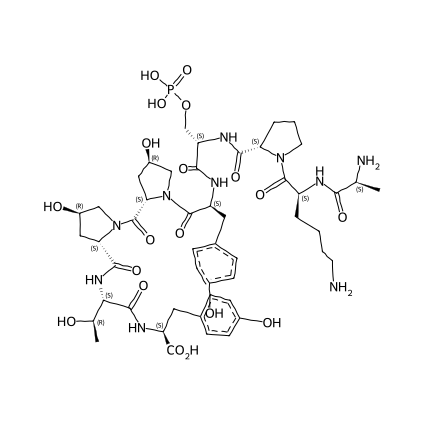 C[C@H](N)C(=O)N[C@@H](CCCCN)C(=O)N1CCC[C@H]1C(=O)N[C@@H](COP(=O)(O)O)C(=O)N[C@@H](Cc1ccc(O)cc1)C(=O)N1C[C@H](O)C[C@H]1C(=O)N1C[C@H](O)C[C@H]1C(=O)N[C@H](C(=O)N[C@@H](Cc1ccc(O)cc1)C(=O)O)[C@@H](C)O